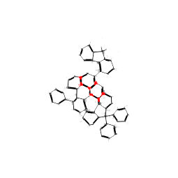 CC1(C)c2ccccc2-c2c(-c3cccc(N(c4cccc(-c5ccccc5)c4-c4ccccc4-c4ccccc4)c4cccc5c4-c4ccccc4C5(c4ccccc4)c4ccccc4)c3)cccc21